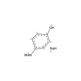 CNc1ccc(O)cc1.[NaH]